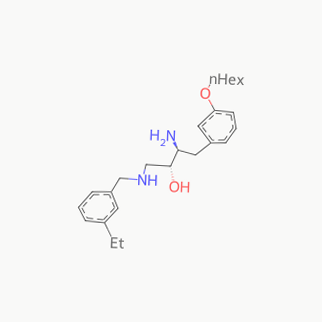 CCCCCCOc1cccc(C[C@H](N)[C@H](O)CNCc2cccc(CC)c2)c1